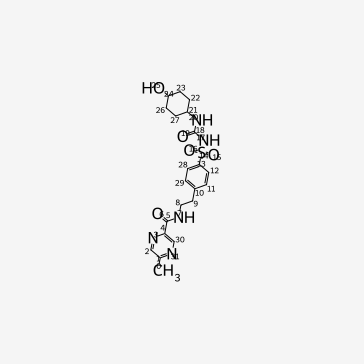 Cc1cnc(C(=O)NCCc2ccc(S(=O)(=O)NC(=O)NC3CCC(O)CC3)cc2)cn1